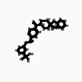 O=C(c1ccc(NSc2cccc(C(F)(F)F)c2)cc1)N1CCC(O)(Cc2ccccc2)CC1